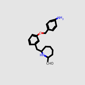 Nc1ccc(COc2cccc(CC3CCCCC(C=O)N3)c2)cc1